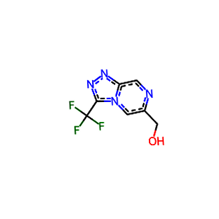 OCc1cn2c(C(F)(F)F)nnc2cn1